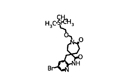 C[Si](C)(C)CCOCN1CCC2(CCC1=O)Cc1cc(Br)cnc1NC2=O